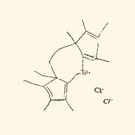 CC1=C(C)C2(C)CCC3(C)C(C)=C(C)C(C)=[C]3[Ti+2][C]2=C1C.[Cl-].[Cl-]